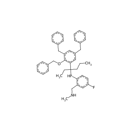 CCCC(CC)(Pc1ccc(F)cc1CNC)c1cc(Cc2ccccc2)cc(Cc2ccccc2)c1OCc1ccccc1